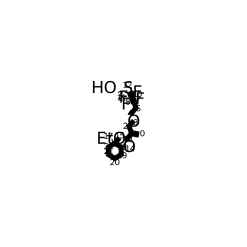 C=C(COCCC(F)(F)C(F)(F)S(=O)(=O)O)C(=O)OC1(CC)CCCCC1